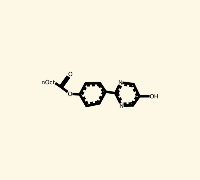 CCCCCCCCC(=O)Oc1ccc(-c2ncc(O)cn2)cc1